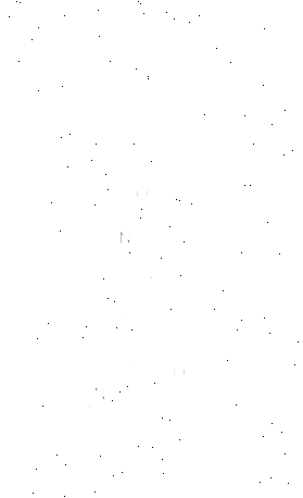 CCCCON1C(C)(C)CC(C(N)=O)C1(C)C